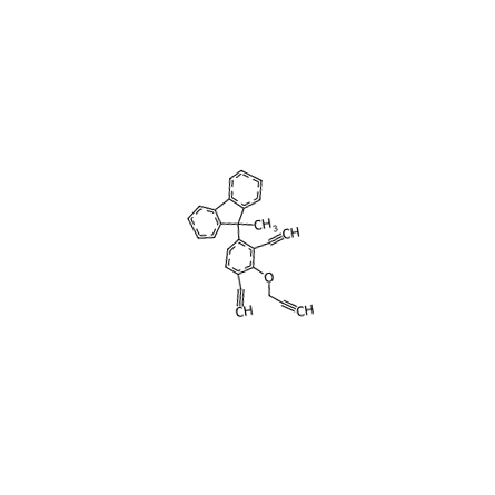 C#CCOc1c(C#C)ccc(C2(C)c3ccccc3-c3ccccc32)c1C#C